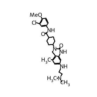 COc1ccc(NC(=O)C2CCC(N3Cc4c(C)cc(NCCN(C)C)cc4NC3=O)CC2)cc1Cl